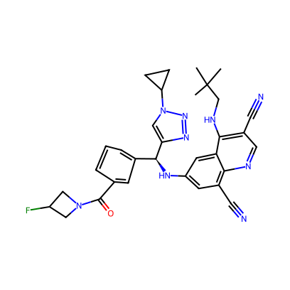 CC(C)(C)CNc1c(C#N)cnc2c(C#N)cc(N[C@@H](c3cccc(C(=O)N4CC(F)C4)c3)c3cn(C4CC4)nn3)cc12